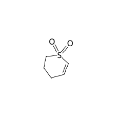 O=S1(=O)C=CCCC1